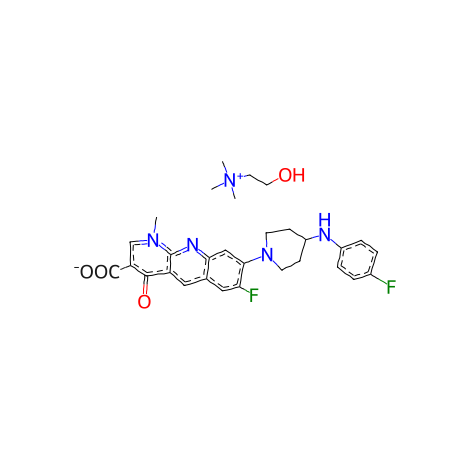 C[N+](C)(C)CCO.Cn1cc(C(=O)[O-])c(=O)c2cc3cc(F)c(N4CCC(Nc5ccc(F)cc5)CC4)cc3nc21